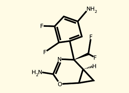 NC1=N[C@@](c2cc(N)cc(F)c2F)(C(F)F)[C@H]2CC2O1